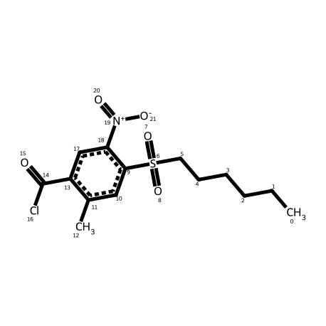 CCCCCCS(=O)(=O)c1cc(C)c(C(=O)Cl)cc1[N+](=O)[O-]